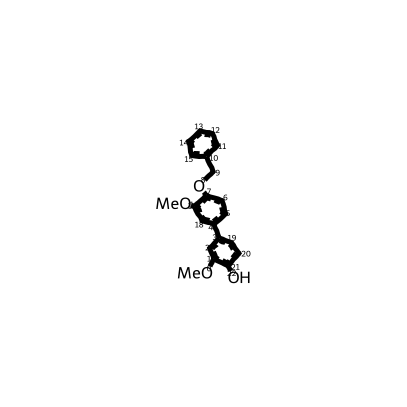 COc1cc(-c2ccc(OCc3ccccc3)c(OC)c2)ccc1O